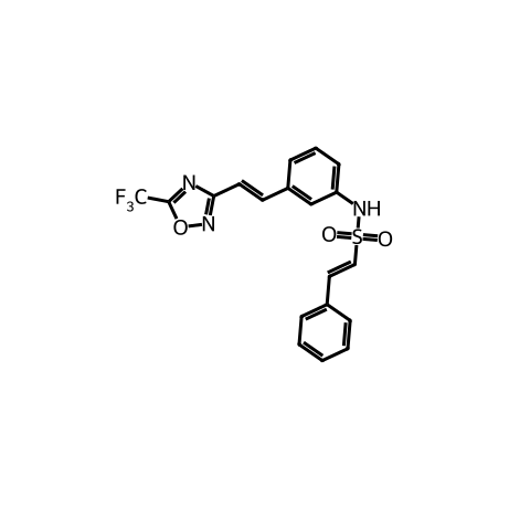 O=S(=O)(/C=C/c1ccccc1)Nc1cccc(/C=C/c2noc(C(F)(F)F)n2)c1